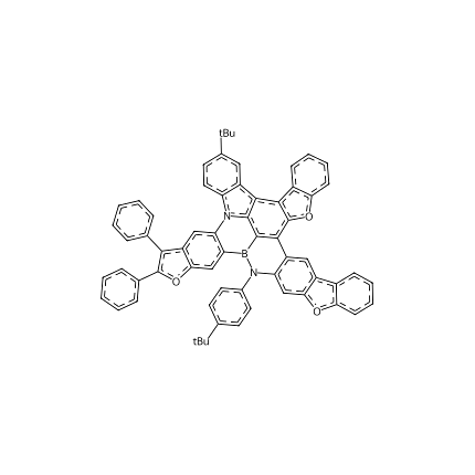 CC(C)(C)c1ccc(N2B3c4cc5oc(-c6ccccc6)c(-c6ccccc6)c5cc4-n4c5ccc(C(C)(C)C)cc5c5c6c(oc7ccccc76)c(c3c54)-c3cc4c(cc32)oc2ccccc24)cc1